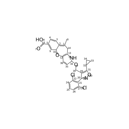 CC1=C2C=CC(C(=O)O)=CC2OC2=C(C1)NC(OCc1c(-c3c(Cl)cccc3Cl)noc1C1CC1)C=C2